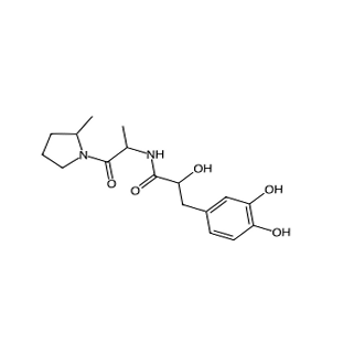 CC(NC(=O)C(O)Cc1ccc(O)c(O)c1)C(=O)N1CCCC1C